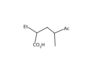 CCC(CC(C)C(C)=O)C(=O)O